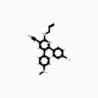 C=CCOc1nc(-c2ccc(F)cc2)c(-c2ccc(SC)cc2)cc1C#N